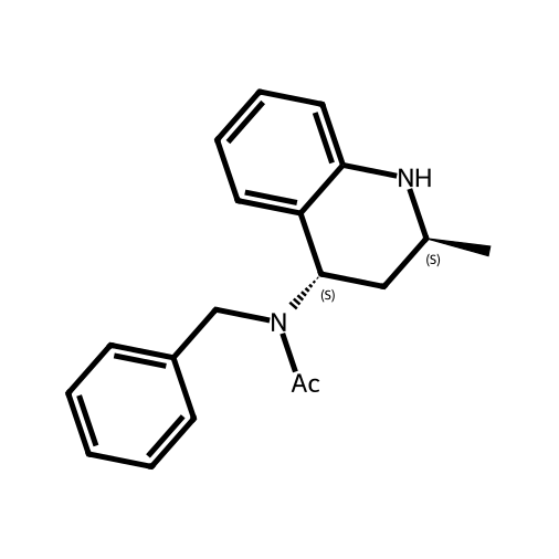 CC(=O)N(Cc1ccccc1)[C@H]1C[C@H](C)Nc2ccccc21